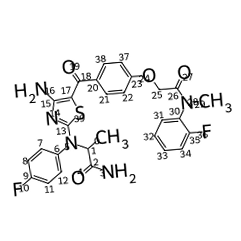 CC(C(N)=O)N(c1ccc(F)cc1)c1nc(N)c(C(=O)c2ccc(OCC(=O)N(C)c3ccccc3F)cc2)s1